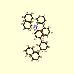 c1ccc(-c2ccccc2N(c2ccc(-c3cccc(-c4cccc5ccccc45)c3)cc2)c2cccc3ccccc23)cc1